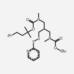 CC(C)CCC(C)(C)OC(=O)N(C)CC(CSSc1ccccn1)CN(C)C(=O)OC(C)(C)C